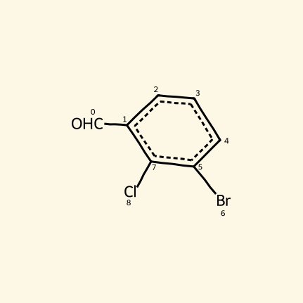 O=Cc1cccc(Br)c1Cl